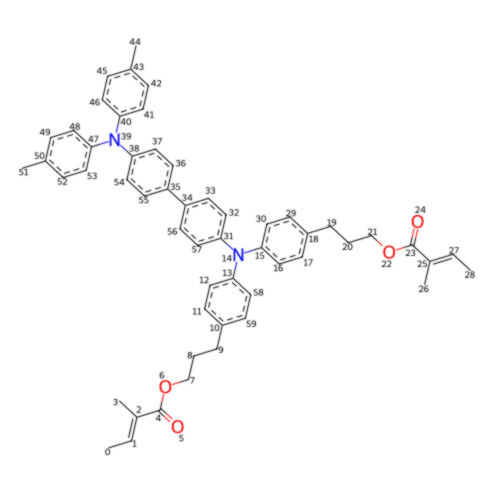 C/C=C(\C)C(=O)OCCCc1ccc(N(c2ccc(CCCOC(=O)/C(C)=C/C)cc2)c2ccc(-c3ccc(N(c4ccc(C)cc4)c4ccc(C)cc4)cc3)cc2)cc1